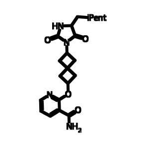 CCCC(C)CC1NC(=O)N(C2CC3(CC(Oc4ncccc4C(N)=O)C3)C2)C1=O